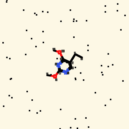 CCc1cnc(OC)nc1OC